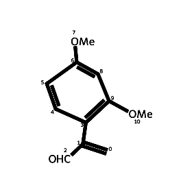 C=C(C=O)c1ccc(OC)cc1OC